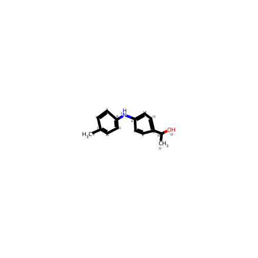 Cc1ccc(Nc2ccc(C(C)O)cc2)cc1